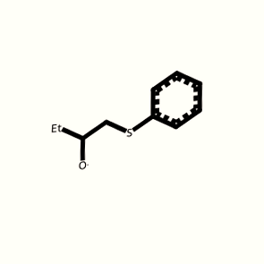 CCC([O])CSc1ccccc1